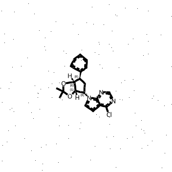 CC1(C)O[C@@H]2[C@H](O1)[C@@H](c1ccccc1)C[C@H]2n1ccc2c(Cl)ncnc21